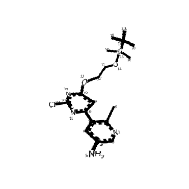 Cc1ncc(N)cc1-c1cc(OCCO[Si](C)(C)C(C)(C)C)nc(Cl)n1